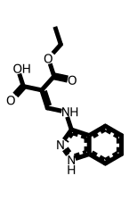 CCOC(=O)C(=CNc1n[nH]c2ccccc12)C(=O)O